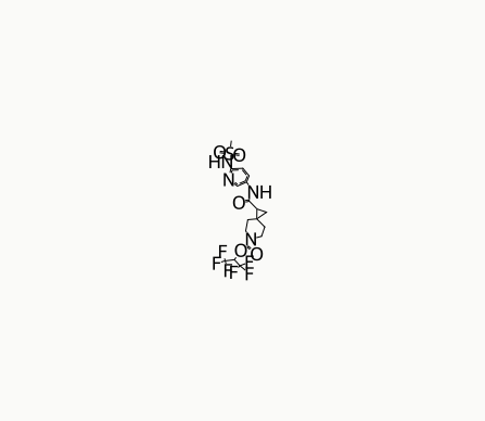 CS(=O)(=O)Nc1ccc(NC(=O)C2CC23CCN(C(=O)OC(C(F)(F)F)C(F)(F)F)CC3)cn1